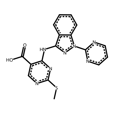 CSc1ncc(C(=O)O)c(Nc2nn(-c3ncccn3)c3ccccc23)n1